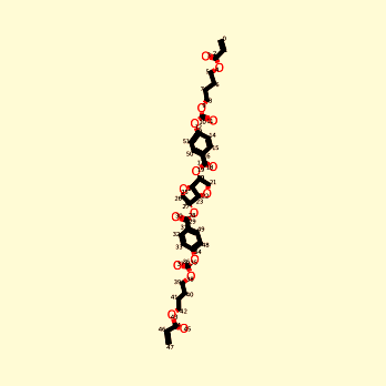 C=CC(=O)OCCCCOC(=O)Oc1ccc(C(=O)O[C@@H]2COC3C2OC[C@H]3OC(=O)c2ccc(OC(=O)OCCCCOC(=O)C=C)cc2)cc1